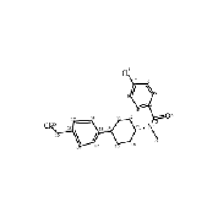 CN(C(=O)c1ccc(Cl)cc1)[C@H]1CC[C@H](c2ccc(CCl)cc2)CC1